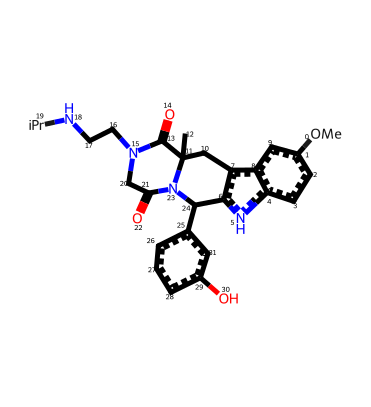 COc1ccc2[nH]c3c(c2c1)CC1(C)C(=O)N(CCNC(C)C)CC(=O)N1C3c1cccc(O)c1